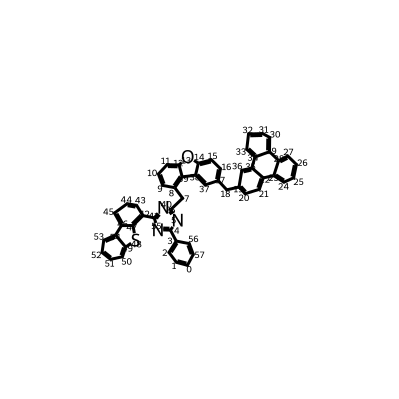 c1ccc(-c2nc(Cc3cccc4oc5ccc(Cc6ccc7c8ccccc8c8ccccc8c7c6)cc5c34)nc(-c3cccc4c3sc3ccccc34)n2)cc1